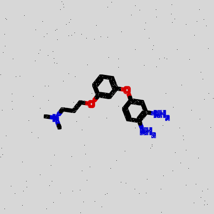 CN(C)CCCOc1cccc(Oc2ccc(N)c(N)c2)c1